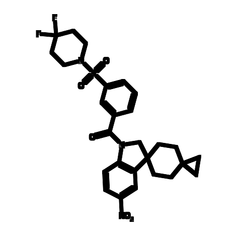 O=C(c1cccc(S(=O)(=O)N2CCC(F)(F)CC2)c1)N1CC2(CCC3(CC3)CC2)c2cc([N+](=O)[O-])ccc21